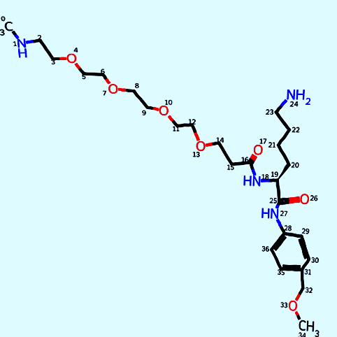 CNCCOCCOCCOCCOCCC(=O)N[C@@H](CCCCN)C(=O)Nc1ccc(COC)cc1